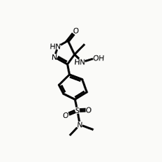 CN(C)S(=O)(=O)c1ccc(C2=NNC(=O)C2(C)NO)cc1